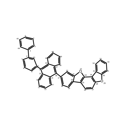 c1ccc(-c2cccc(-c3c4ccccc4c(-c4ccc5c(c4)oc4c5ccc5oc6ccccc6c54)c4ccccc34)c2)cc1